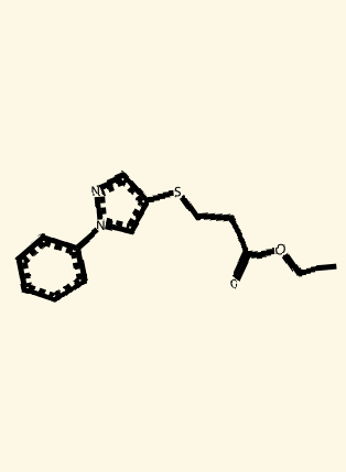 CCOC(=O)CCSc1cnn(-c2ccccc2)c1